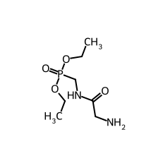 CCOP(=O)(CNC(=O)CN)OCC